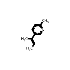 CC=C(C)c1ccc(C)nc1